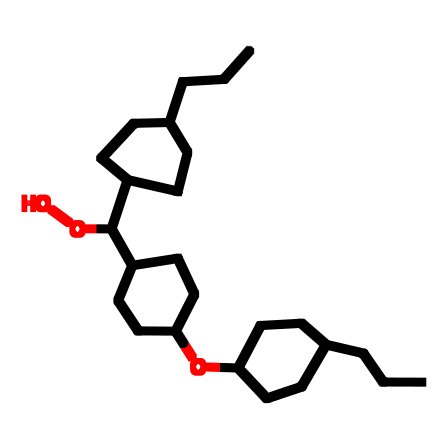 CCCC1CCC(OC2CCC(C(OO)C3CCC(CCC)CC3)CC2)CC1